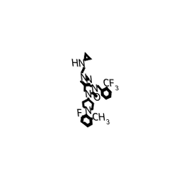 Cc1cccc(F)c1N1CCC(N2Cc3cn(CCNC4CC4)nc3N(Cc3ccccc3C(F)(F)F)C2=O)CC1